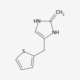 C=C1NC=C(Cc2cccs2)N1